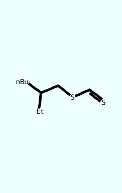 CCCCC(CC)CS[C]=S